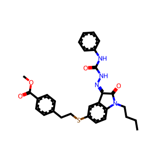 CCCCN1C(=O)C(=NNC(=O)Nc2ccccc2)c2cc(SCCc3ccc(C(=O)OC)cc3)ccc21